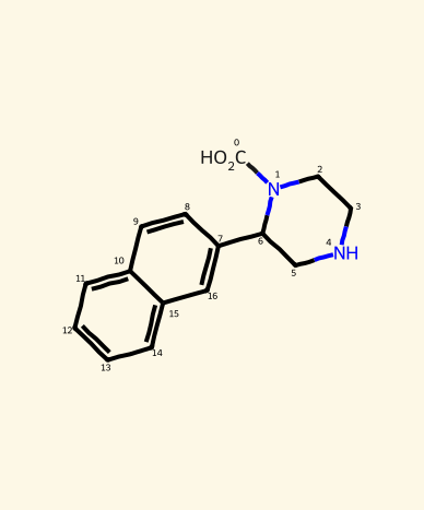 O=C(O)N1CCNCC1c1ccc2ccccc2c1